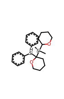 C[Si](C)(C1CCCCO1)C1([SiH](c2ccccc2)c2ccccc2)CCCCO1